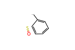 O=S.[CH2]c1ccccc1